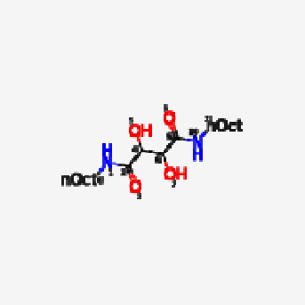 CCCCCCCCNC(=O)C(O)C(O)C(=O)NCCCCCCCC